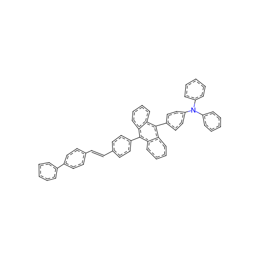 C(=C\c1ccc(-c2c3ccccc3c(-c3ccc(N(c4ccccc4)c4ccccc4)cc3)c3ccccc23)cc1)/c1ccc(-c2ccccc2)cc1